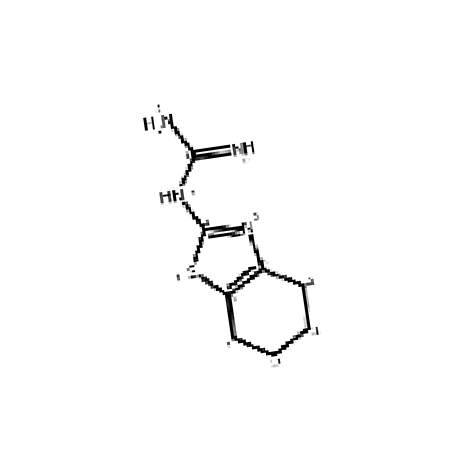 N=C(N)Nc1nc2c(s1)CCCC2